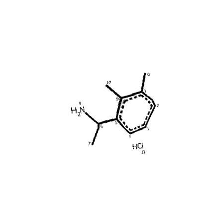 Cc1cccc(C(C)N)c1C.Cl